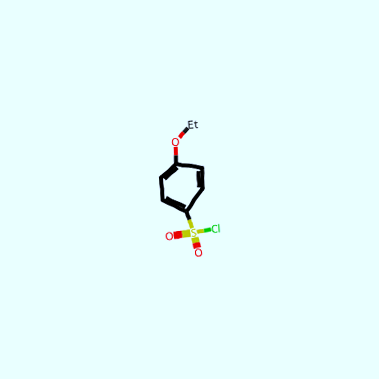 CCOc1ccc(S(=O)(=O)Cl)cc1